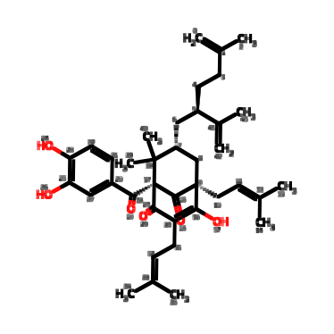 C=C(C)CC[C@H](C[C@@H]1C[C@]2(CC=C(C)C)C(=O)[C@@](C(=O)c3ccc(O)c(O)c3)(C(=O)C(CC=C(C)C)=C2O)C1(C)C)C(=C)C